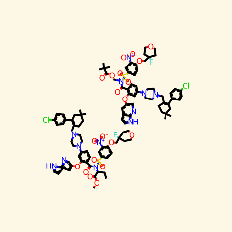 CC1(C)CCC(CN2CCN(c3ccc(C(=O)N(COC(=O)C(C)(C)C)S(=O)(=O)c4ccc(OCC5(F)CCOCC5)c([N+](=O)[O-])c4)c(Oc4cnc5[nH]ccc5c4)c3)CC2)=C(c2ccc(Cl)cc2)C1.CCC(C(=O)OC)N(C(=O)c1ccc(N2CCN(CC3=C(c4ccc(Cl)cc4)CC(C)(C)CC3)CC2)cc1Oc1cnc2[nH]ccc2c1)S(=O)(=O)c1ccc(OCC2(F)CCOCC2)c([N+](=O)[O-])c1